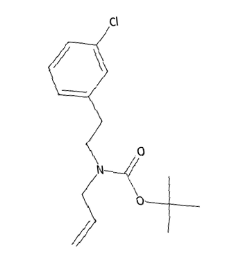 C=CCN(CCc1cccc(Cl)c1)C(=O)OC(C)(C)C